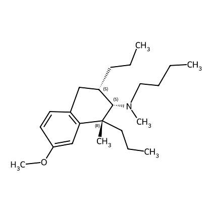 CCCCN(C)[C@H]1[C@@H](CCC)Cc2ccc(OC)cc2[C@@]1(C)CCC